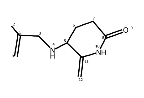 C=C(C)CNC1CCC(=O)NC1=C